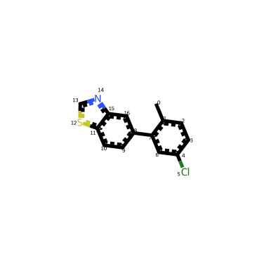 Cc1ccc(Cl)cc1-c1ccc2scnc2c1